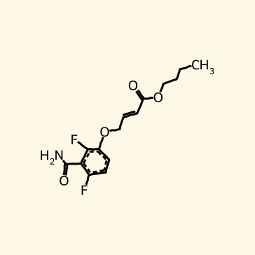 CCCCOC(=O)C=CCOc1ccc(F)c(C(N)=O)c1F